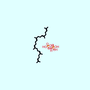 CC(C)=CCCC(C)=CCCC(C)=CCCC=C(C)CCC=C(C)CCC=C(C)C.O=P(O)(O)O.O=P(O)(O)O